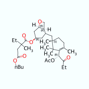 CCCCOC(=O)CC(C)(CC)C(=O)O[C@@H]1CC(C[C@]2(C)CCC(C)=C([C@@H](OC(C)=O)C(=O)CC)C2(C)C)[C@@H]2CO[C@@H]2C1